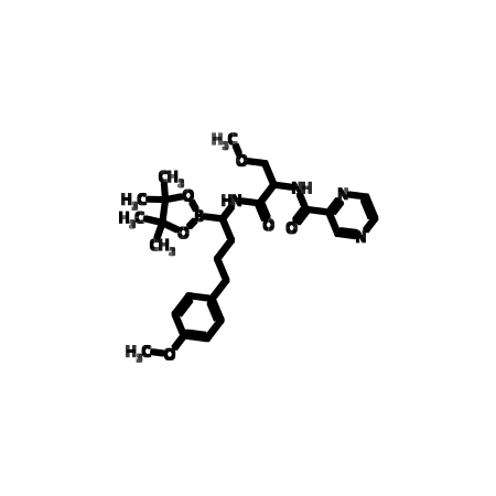 COCC(NC(=O)c1cnccn1)C(=O)NC(CCCc1ccc(OC)cc1)B1OC(C)(C)C(C)(C)O1